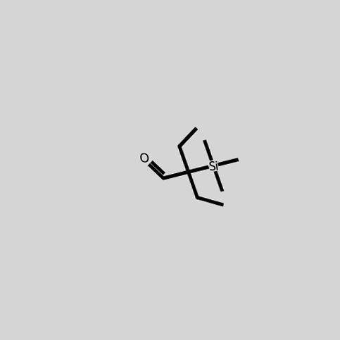 CCC(C=O)(CC)[Si](C)(C)C